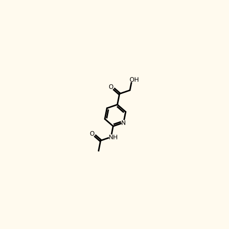 CC(=O)Nc1ccc(C(=O)CO)cn1